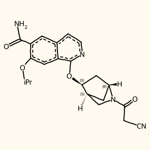 CC(C)Oc1cc2c(O[C@H]3C[C@H]4C[C@H]3CN4C(=O)CC#N)nccc2cc1C(N)=O